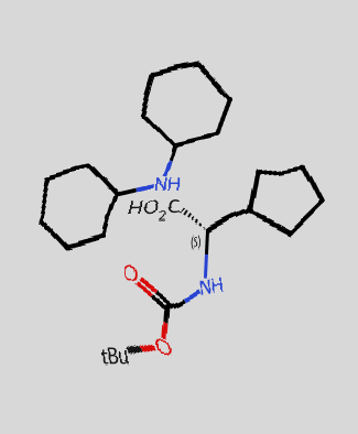 C1CCC(NC2CCCCC2)CC1.CC(C)(C)OC(=O)N[C@H](C(=O)O)C1CCCC1